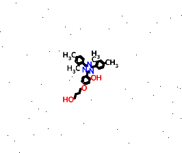 Cc1ccc(-c2nc(-c3ccc(C)cc3C)nc(-c3ccc(OCCCCO)cc3O)n2)c(C)c1